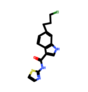 O=C(Nc1nccs1)c1c[nH]c2cc(CCCCl)ccc12